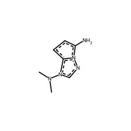 CN(C)n1cnn2c(N)ccc12